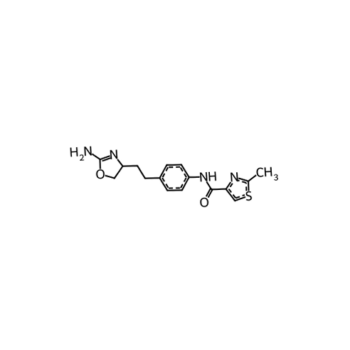 Cc1nc(C(=O)Nc2ccc(CCC3COC(N)=N3)cc2)cs1